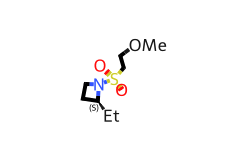 CC[C@H]1CCN1S(=O)(=O)CCOC